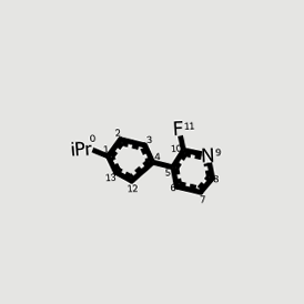 CC(C)c1ccc(-c2cccnc2F)cc1